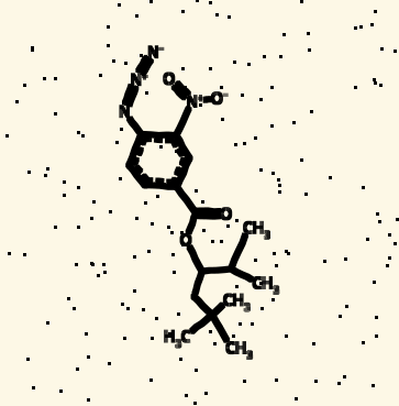 CC(C)C(CC(C)(C)C)OC(=O)c1ccc(N=[N+]=[N-])c([N+](=O)[O-])c1